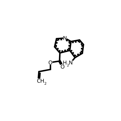 C=CCOC(=O)c1ccnc2cccc(N)c12